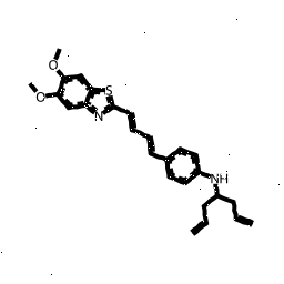 C=CCC(CC=C)Nc1ccc(C=CC=Cc2nc3cc(OC)c(OC)cc3s2)cc1